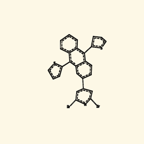 Brc1cc(-c2ccc3c(-c4cccs4)c4ccccc4c(-c4cccs4)c3c2)cc(Br)n1